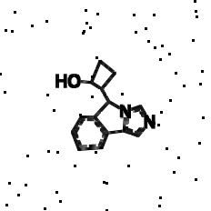 OC1CCC1C1c2ccccc2-c2cncn21